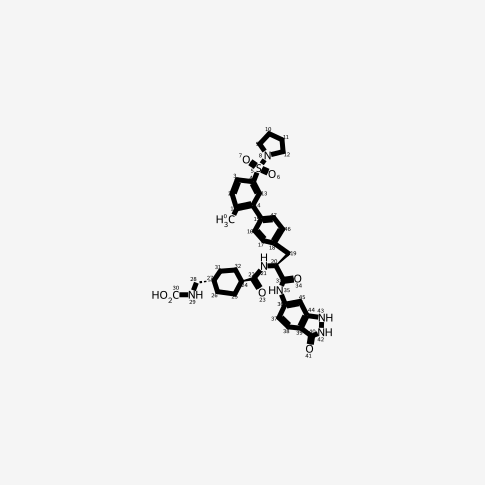 Cc1ccc(S(=O)(=O)N2CCCC2)cc1-c1ccc(C[C@H](NC(=O)[C@H]2CC[C@H](CNC(=O)O)CC2)C(=O)Nc2ccc3c(=O)[nH][nH]c3c2)cc1